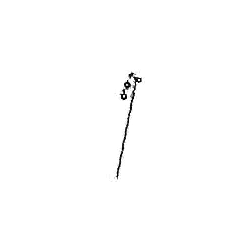 COC(=O)[C@H](Cc1ccc(NC(=O)c2c(Cl)cccc2Cl)cc1)NC(=O)C1(CCNCCC(=O)OCCOCCOCCOCCOCCOCCOCCOCCOCCOCCOCCOCCN)CCCC1